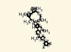 C=C1/N=C2\Nc3ccc(CN(C)C4CCCN(C(=C)C5CCN(c6cc(F)cc(F)c6)C5)C4)cc3N2C[C@H](C)CCCC/C(NC)=C(/C=N)c2cc1cc(C)n2